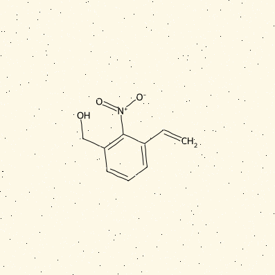 C=Cc1cccc([CH]O)c1[N+](=O)[O-]